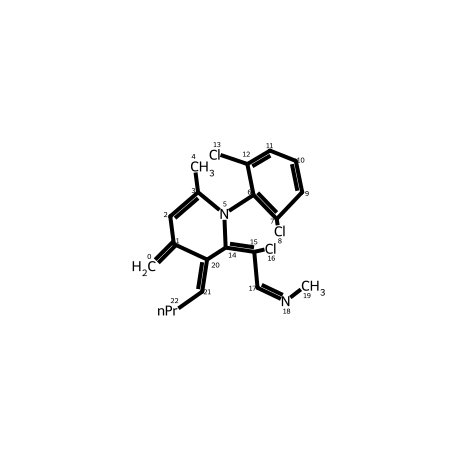 C=C1C=C(C)N(c2c(Cl)cccc2Cl)C(=C(Cl)/C=N\C)/C1=C/CCC